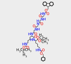 CC(C)(C)OC(=O)NCCCCC(NC(=O)CNC(=O)CNC(=O)CNC(=O)CNC(=O)OCC1c2ccccc2-c2ccccc21)C(=O)NC(CCCCNC(=O)OCc1ccccc1)C(=O)OC(C)(C)C